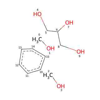 CO.CO.OCC(O)CO.c1ccccc1